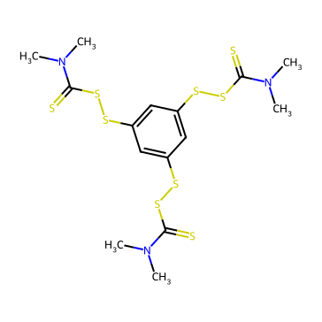 CN(C)C(=S)SSc1cc(SSC(=S)N(C)C)cc(SSC(=S)N(C)C)c1